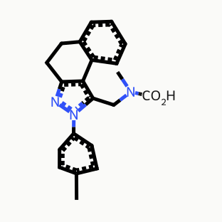 Cc1ccc(-n2nc3c(c2CN(C)C(=O)O)-c2ccccc2CC3)cc1